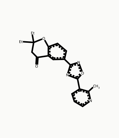 CCC1(CC)CC(=O)c2cc(-c3noc(-c4cccnc4C)n3)ccc2O1